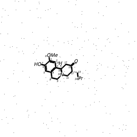 COc1cc2c(cc1O)CCN1C[C@@H](CC(C)C)C(=O)C[C@H]21